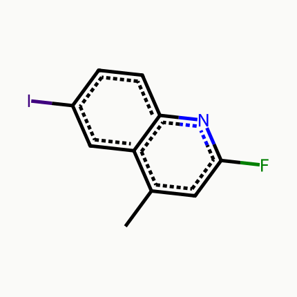 Cc1cc(F)nc2ccc(I)cc12